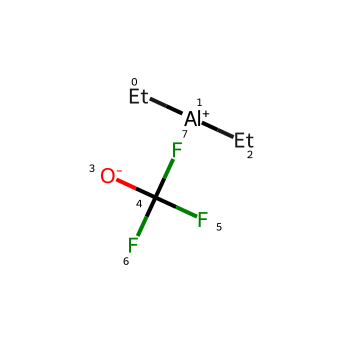 C[CH2][Al+][CH2]C.[O-]C(F)(F)F